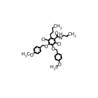 C=CCNC(=O)c1c(Cl)c(OCc2ccc(OC)cc2)c(OCc2ccc(OC)cc2)c(Cl)c1CCCC